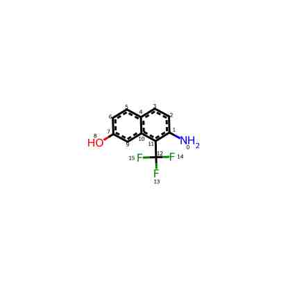 Nc1ccc2ccc(O)cc2c1C(F)(F)F